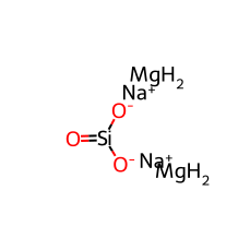 O=[Si]([O-])[O-].[MgH2].[MgH2].[Na+].[Na+]